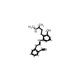 CNC(C)CCc1c(O)cccc1/N=C/Cc1ccccc1C#N